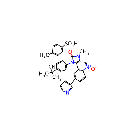 Cc1ccc(S(=O)(=O)O)cc1.Cn1c(=O)n(-c2ccc(C(C)(C)C#N)cc2)c2c3cc(-c4cccnc4)ccc3[n+]([O-])cc21